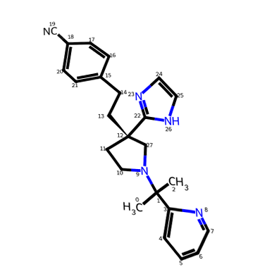 CC(C)(c1ccccn1)N1CC[C@](CCc2ccc(C#N)cc2)(c2ncc[nH]2)C1